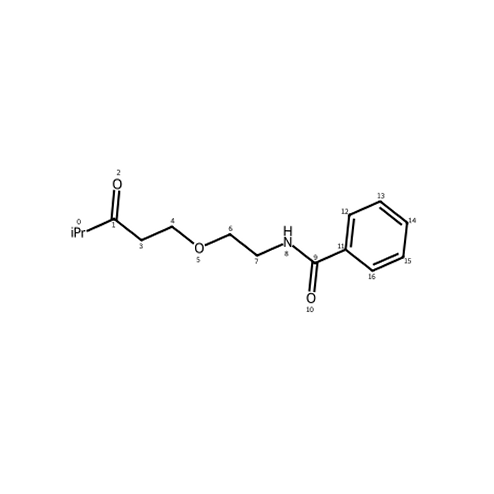 CC(C)C(=O)CCOCCNC(=O)c1ccccc1